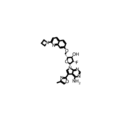 Cc1coc(-c2cn([C@@H]3O[C@H](COc4ccc5ccc(N6CCC6)nc5c4)[C@@H](O)[C@@H]3F)c3ncnc(N)c23)n1